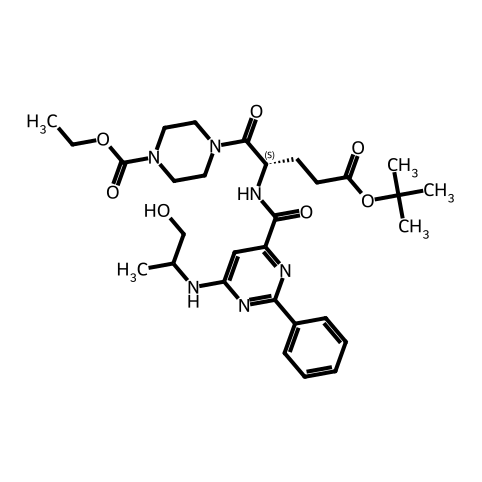 CCOC(=O)N1CCN(C(=O)[C@H](CCC(=O)OC(C)(C)C)NC(=O)c2cc(NC(C)CO)nc(-c3ccccc3)n2)CC1